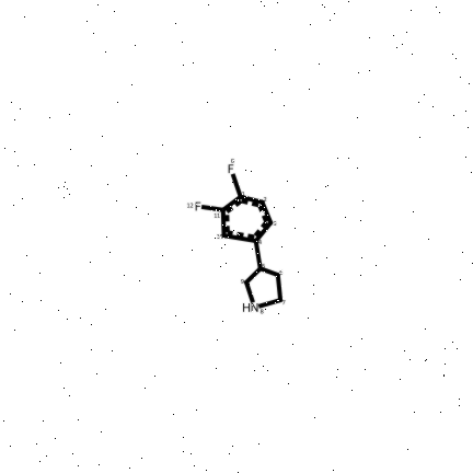 Fc1ccc([C]2CCNC2)cc1F